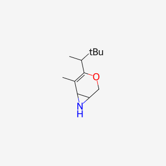 CC1=C(C(C)C(C)(C)C)OCC2NC12